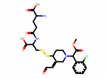 COC(=O)C(c1ccccc1Cl)N1CCC(SSCC(NC(=O)CCC(N)C(=O)O)C(=O)O)/C(=C\C=O)C1